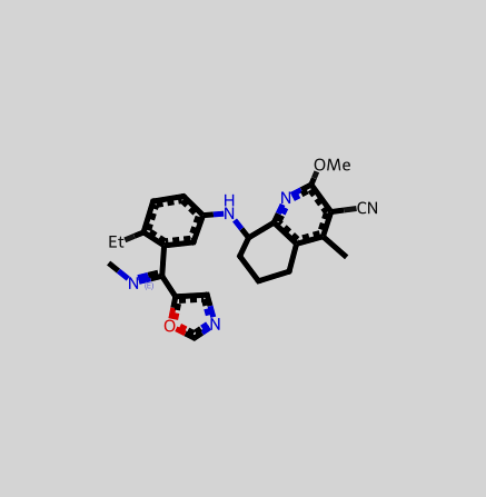 CCc1ccc(NC2CCCc3c2nc(OC)c(C#N)c3C)cc1/C(=N\C)c1cnco1